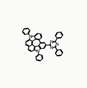 c1ccc(-c2nc(-c3ccccc3)nc(-c3cc4c5c6c7c(ccc8c7c7c-4cccc7n8-c4ccccc4)ccc6n(-c4ccccc4)c5c3)n2)cc1